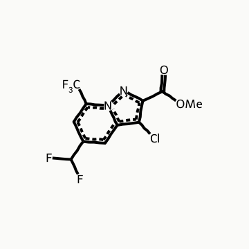 COC(=O)c1nn2c(C(F)(F)F)cc(C(F)F)cc2c1Cl